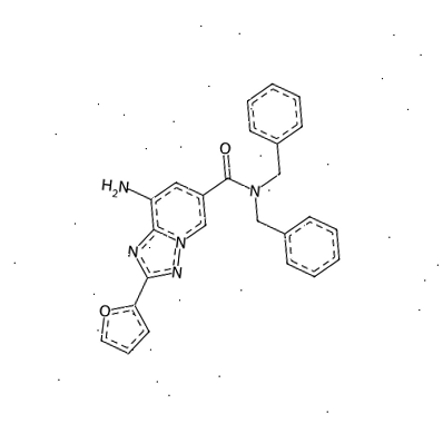 Nc1cc(C(=O)N(Cc2ccccc2)Cc2ccccc2)cn2nc(-c3ccco3)nc12